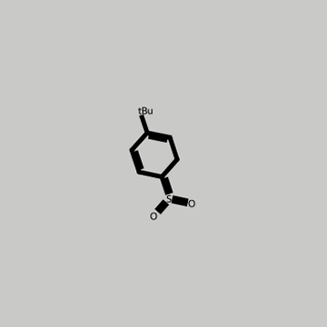 CC(C)(C)C1=CCC(=S(=O)=O)C=C1